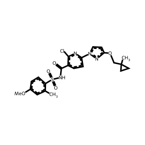 COc1ccc(S(=O)(=O)NC(=O)c2ccc(-n3ccc(OCC4(C)CC4)n3)nc2Cl)c(C)c1